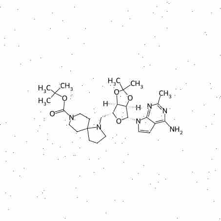 Cc1nc(N)c2ccn([C@@H]3O[C@H](CN4CCCC45CCN(C(=O)OC(C)(C)C)CC5)[C@H]4OC(C)(C)O[C@H]43)c2n1